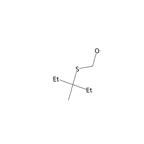 CCC(C)(CC)SC[O]